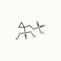 CCOP(=O)(OCC)C1(COS(C)(=O)=O)CC1